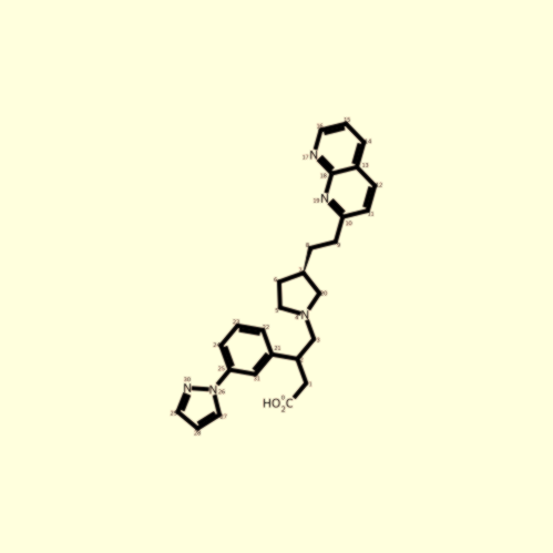 O=C(O)CC(CN1CC[C@@H](CCc2ccc3cccnc3n2)C1)c1cccc(-n2cccn2)c1